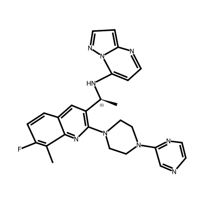 Cc1c(F)ccc2cc([C@H](C)Nc3ccnc4ccnn34)c(N3CCN(c4cnccn4)CC3)nc12